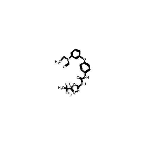 CCN(C=O)c1cccc(Oc2ccc(NC(=O)Nc3nnc(C(C)(C)C)o3)cc2)c1